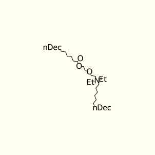 CCCCCCCCCCCCCCCC[N+](CC)(CC)CCOCCOC(=O)CCCCCCCCCCCCCCC